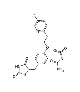 CCc1ccc(CCOc2ccc(CC3SC(=O)NC3=O)cc2)nc1.NC(=O)N=S(=O)=O